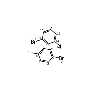 Brc1ccc(I)cc1.Brc1cccc(I)c1